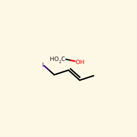 CC=CCI.O=C(O)O